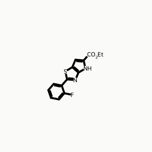 CCOC(=O)c1cc2sc(-c3ccccc3F)nc2[nH]1